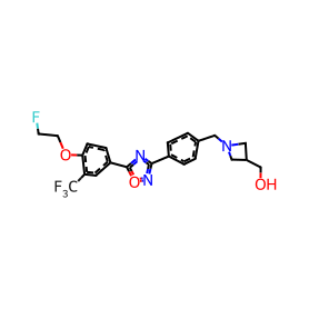 OCC1CN(Cc2ccc(-c3noc(-c4ccc(OCCF)c(C(F)(F)F)c4)n3)cc2)C1